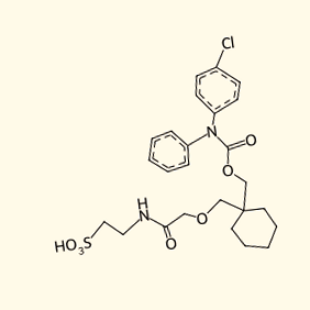 O=C(COCC1(COC(=O)N(c2ccccc2)c2ccc(Cl)cc2)CCCCC1)NCCS(=O)(=O)O